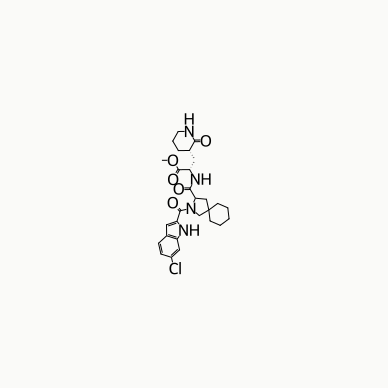 COC(=O)[C@H](C[C@@H]1CCCNC1=O)NC(=O)C1CC2(CCCCC2)CN1C(=O)c1cc2ccc(Cl)cc2[nH]1